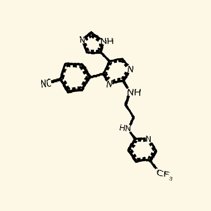 N#Cc1ccc(-c2nc(NCCNc3ccc(C(F)(F)F)cn3)ncc2-c2cnc[nH]2)cc1